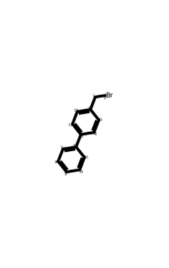 BrCc1c[c]c(-c2ccccc2)cc1